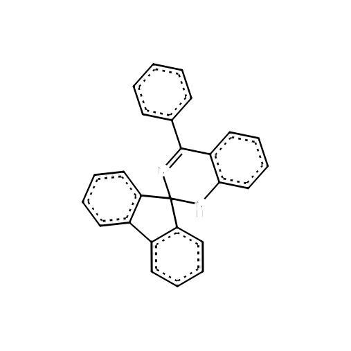 c1ccc(C2=NC3(Nc4ccccc42)c2ccccc2-c2ccccc23)cc1